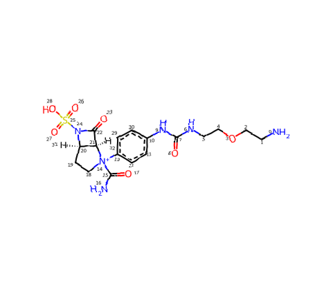 NCCOCCNC(=O)Nc1ccc([N+]2(C(N)=O)CC[C@@H]3[C@H]2C(=O)N3S(=O)(=O)O)cc1